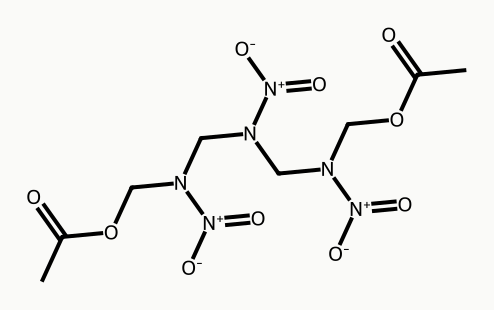 CC(=O)OCN(CN(CN(COC(C)=O)[N+](=O)[O-])[N+](=O)[O-])[N+](=O)[O-]